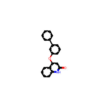 O=c1cc(Oc2cccc(-c3ccccc3)c2)c2ccccc2[nH]1